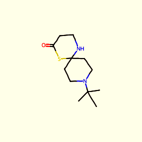 CC(C)(C)N1CCC2(CC1)NCCC(=O)S2